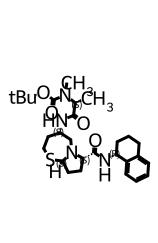 C[C@@H](C(=O)N[C@H]1CCS[C@H]2CC[C@@H](C(=O)N[C@@H]3CCCc4ccccc43)N2C1)N(C)C(=O)OC(C)(C)C